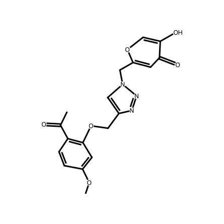 COc1ccc(C(C)=O)c(OCc2cn(Cc3cc(=O)c(O)co3)nn2)c1